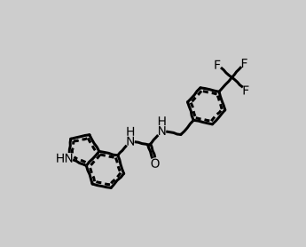 O=C(NCc1ccc(C(F)(F)F)cc1)Nc1cccc2[nH]ccc12